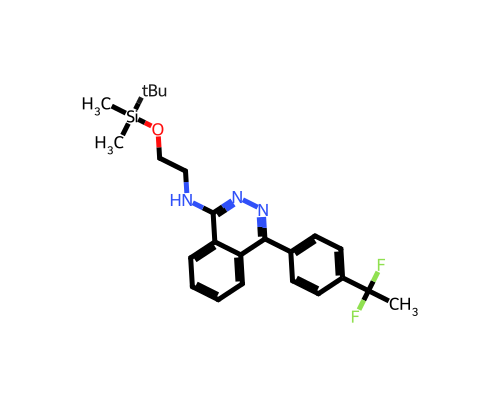 CC(F)(F)c1ccc(-c2nnc(NCCO[Si](C)(C)C(C)(C)C)c3ccccc23)cc1